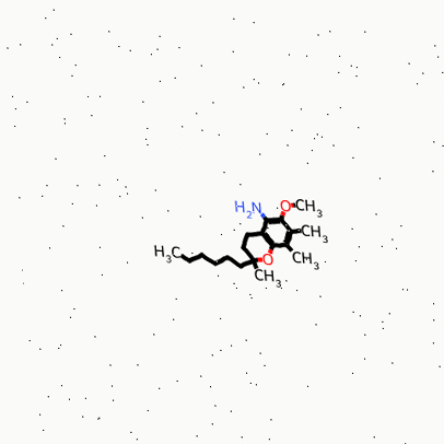 CCCCCCC1(C)CCc2c(N)c(OC)c(C)c(C)c2O1